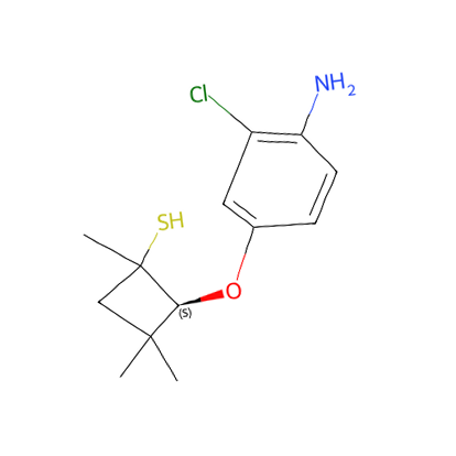 CC1(C)CC(C)(S)[C@H]1Oc1ccc(N)c(Cl)c1